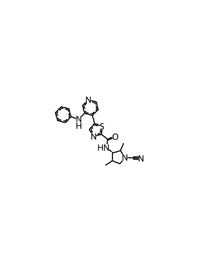 CC1CN(C#N)C(C)[C@@H]1NC(=O)c1ncc(-c2ccncc2Nc2ccccc2)s1